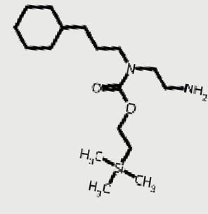 C[Si](C)(C)CCOC(=O)N(CCN)CCCC1CCCCC1